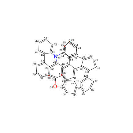 c1ccc(-c2ccccc2-c2c(-c3ccccc3)cccc2-c2cccc(N(c3ccc4oc5ccccc5c4c3)c3ccccc3-c3ccccc3)c2)cc1